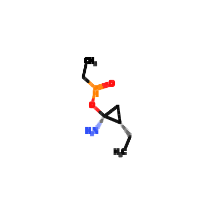 CC[C@H]1C[C@]1(N)O[PH](=O)CC